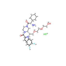 Cl.N[C@H](C(=O)N1CCN(C(=O)c2cc3cc(F)c(F)cc3n2CCOCCOCCO)CC1)C1CCCCC1